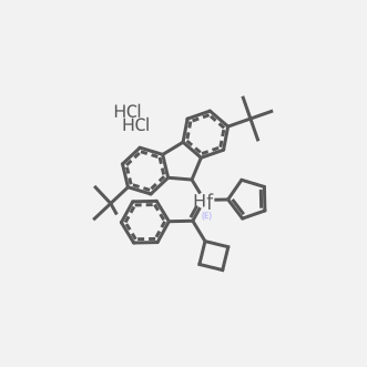 CC(C)(C)c1ccc2c(c1)[CH](/[Hf]([C]1=CC=CC1)=[C](\c1ccccc1)C1CCC1)c1cc(C(C)(C)C)ccc1-2.Cl.Cl